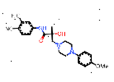 COc1ccc(N2CCN(CC(C)(O)C(=O)Nc3ccc(C#N)c(C(F)(F)F)c3)CC2)cc1